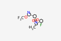 [CH2]c1cc(-c2ccccc2F)n(S(=O)(=O)c2cccc(-c3cncc(OCC(F)(F)F)c3)c2)c1